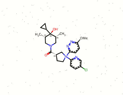 COc1ccc([N+]2(c3ccc(Cl)cn3)CC[C@H](C(=O)N3C[C@@H](C)[C@@](O)(C4CC4)[C@@H](C)C3)C2)nn1